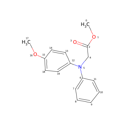 COC(=O)CN(c1ccccc1)c1ccc(OC)cc1